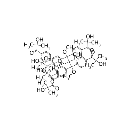 CCC(COC(c1ccc(C(=O)C(C)(C)O)cc1)c1ccc(C(=O)C(C)(C)O)cc1)(C(OC)(c1ccc(C(=O)C(C)(C)O)cc1)c1ccc(C(=O)C(C)(C)O)cc1)C(OC)(c1ccc(C(=O)C(C)(C)O)cc1)c1ccc(C(=O)C(C)(C)O)cc1